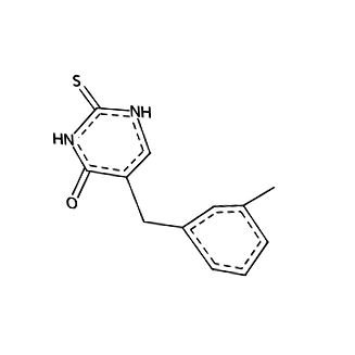 Cc1cccc(Cc2c[nH]c(=S)[nH]c2=O)c1